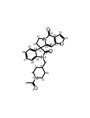 CC(=O)N1CCC(CN2C(=O)C3(CCn4c3cc3occc3c4=O)c3ccccc32)CC1